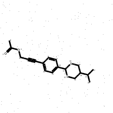 CC(=O)OCC#Cc1ccc(C2SCC(C(C)C)CS2)cc1